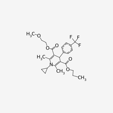 CCCOC(=O)C1=C(C)N(C2CC2)C(C)=C(C(=O)OCCOC)C1c1ccc(C(F)(F)F)cc1